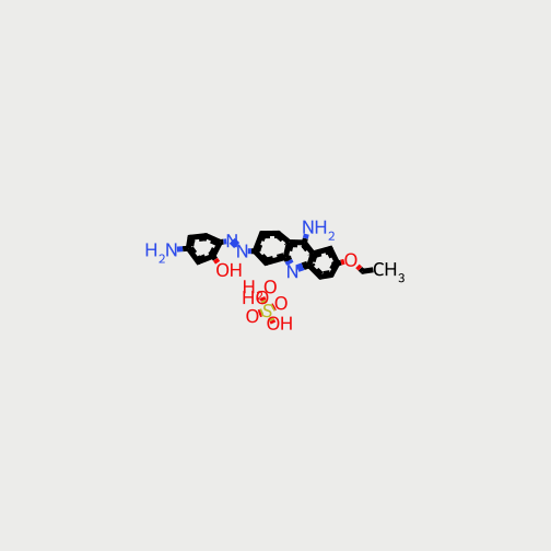 CCOc1ccc2nc3cc(/N=N/c4ccc(N)cc4O)ccc3c(N)c2c1.O.O=S(=O)(O)O